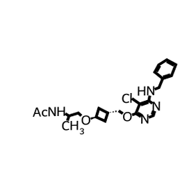 CC(=O)NC(C)CO[C@H]1C[C@H](COc2ncnc(NCc3ccccc3)c2Cl)C1